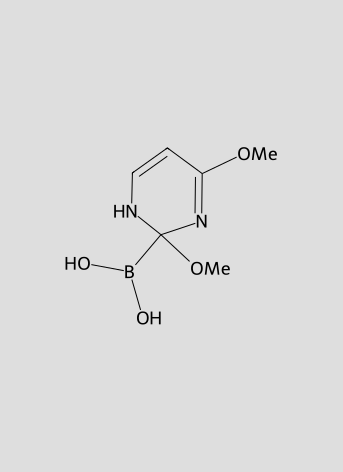 COC1=NC(OC)(B(O)O)NC=C1